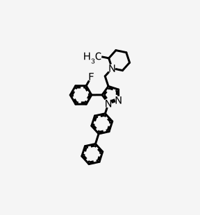 CC1CCCCN1Cc1cnn(-c2ccc(-c3ccccc3)cc2)c1-c1ccccc1F